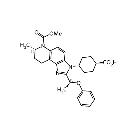 COC(=O)N1c2ccc3c(nc([C@H](C)Oc4ccccc4)n3[C@H]3CC[C@H](C(=O)O)CC3)c2CC[C@@H]1C